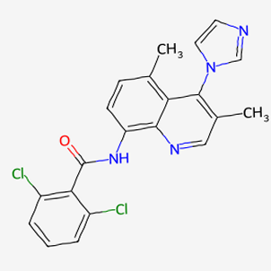 Cc1cnc2c(NC(=O)c3c(Cl)cccc3Cl)ccc(C)c2c1-n1ccnc1